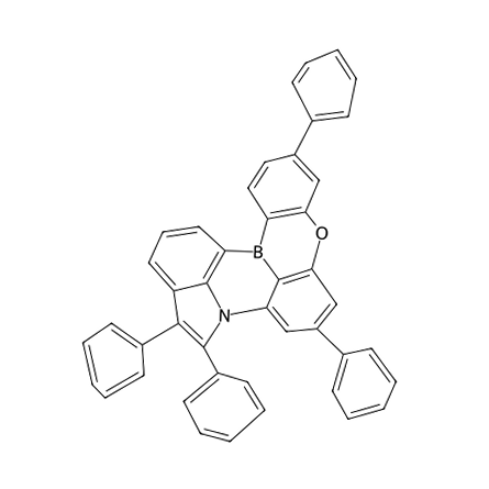 c1ccc(-c2ccc3c(c2)Oc2cc(-c4ccccc4)cc4c2B3c2cccc3c(-c5ccccc5)c(-c5ccccc5)n-4c23)cc1